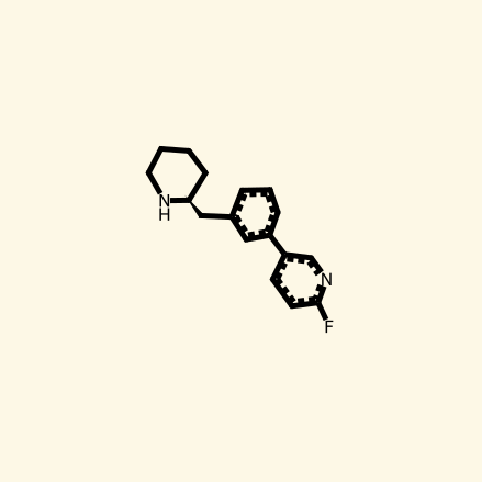 Fc1ccc(-c2cccc(C[C@@H]3CCCCN3)c2)cn1